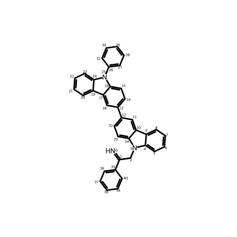 N=C(Cn1c2ccccc2c2cc(-c3ccc4c(c3)c3ccccc3n4-c3ccccc3)ccc21)c1ccccc1